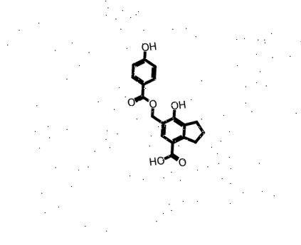 O=C(OCc1cc(C(=O)O)c2c(c1O)CCC2)c1ccc(O)cc1